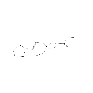 CC(C)(C)OC(=O)N1CC2(CC=C(N3CCCC3)CC2)C1